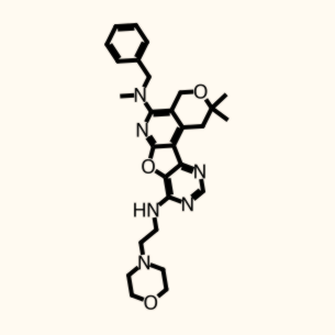 CN(Cc1ccccc1)c1nc2oc3c(NCCN4CCOCC4)ncnc3c2c2c1COC(C)(C)C2